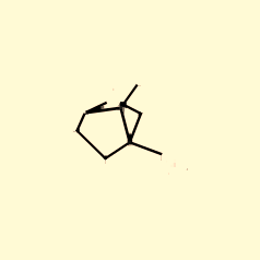 CC1C2CCC1(C)CO2.[SiH4]